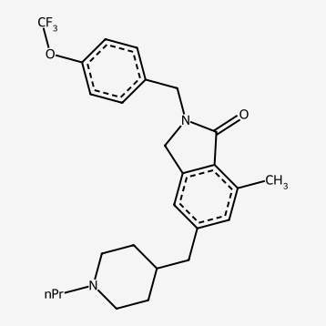 CCCN1CCC(Cc2cc(C)c3c(c2)CN(Cc2ccc(OC(F)(F)F)cc2)C3=O)CC1